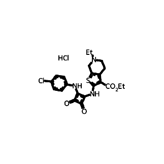 CCOC(=O)c1c(Nc2c(Nc3ccc(Cl)cc3)c(=O)c2=O)sc2c1CCN(CC)C2.Cl